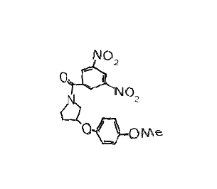 COc1ccc(OC2CCN(C(=O)c3cc([N+](=O)[O-])cc([N+](=O)[O-])c3)C2)cc1